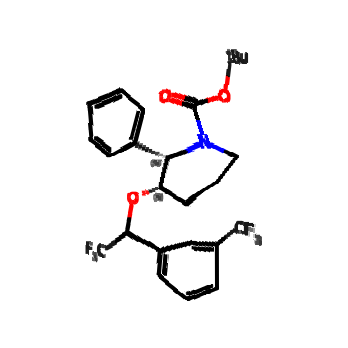 CC(C)(C)OC(=O)N1CCC[C@H](OC(c2cccc(C(F)(F)F)c2)C(F)(F)F)[C@@H]1c1ccccc1